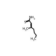 CCCC/C(C)=C/C(N)=S